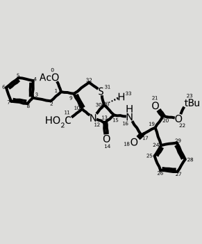 CC(=O)OC(Cc1ccccc1)C1=C(C(=O)O)N2C(=O)C(NC(=O)C(C(=O)OC(C)(C)C)c3ccccc3)[C@@H]2SC1